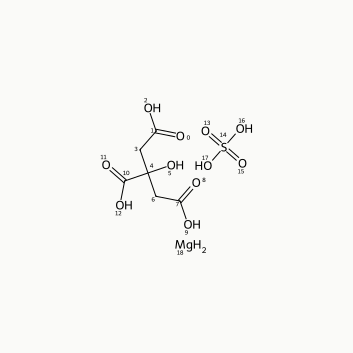 O=C(O)CC(O)(CC(=O)O)C(=O)O.O=S(=O)(O)O.[MgH2]